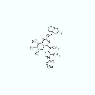 CC1C(N(C)c2nc(OC[C@@]34CCCN3C[C@H](F)C4)nc3c(C#N)c(Br)c(Cl)cc23)CCN1C(=O)OC(C)(C)C